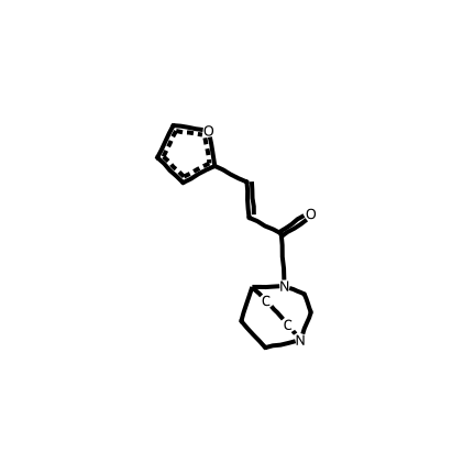 O=C(C=Cc1ccco1)N1CCN2CCC1CC2